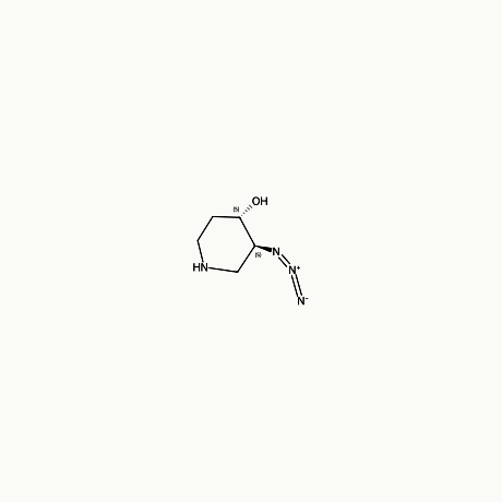 [N-]=[N+]=N[C@H]1CNCC[C@@H]1O